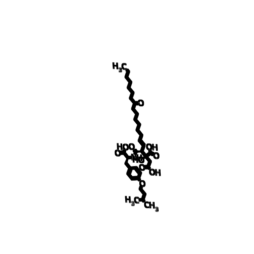 CCCCCCCC(=O)CCCCCC/C=C/[C@H](C(=O)N[C@@H](Cc1ccc(OCCC(C)C)cc1)C(=O)O)[C@@](O)(CC(=O)O)C(=O)O